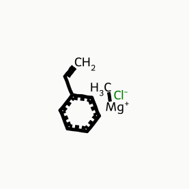 C=Cc1ccccc1.[CH3][Mg+].[Cl-]